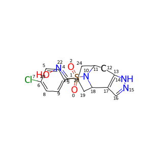 O=S(=O)(c1ccc(Cl)cc1)N1C2Cc3[nH]ncc3C1CC(C=NO)C2